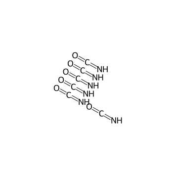 N=C=O.N=C=O.N=C=O.N=C=O.N=C=O.N=C=O